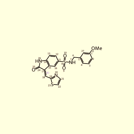 COc1cccc(CNS(=O)(=O)c2ccc3c(c2)/C(=C\c2nccs2)C(=O)N3)c1